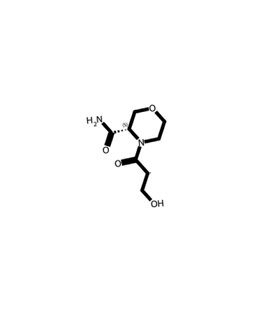 NC(=O)[C@@H]1COCCN1C(=O)[CH]CO